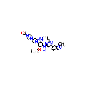 CNc1cc(Nc2cc(-c3ccc4cnn(C)c4c3)ncn2)c(OC)cc1N1CCC(N2CCN(C3COC3)CC2)CC1